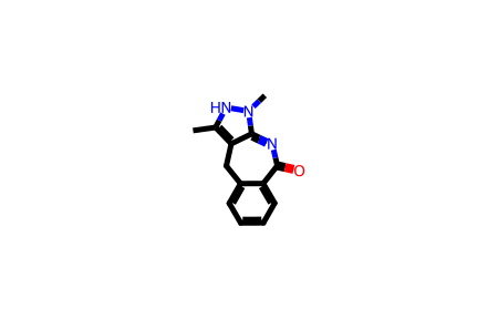 CC1=C2Cc3ccccc3C(=O)N=C2N(C)N1